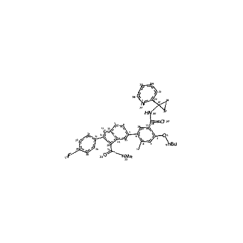 CCCCOc1cc(C)c(-c2ccc3oc(-c4ccc(F)cc4)c(C(=O)NC)c3c2)cc1C(=O)NC1(c2ccccn2)CC1